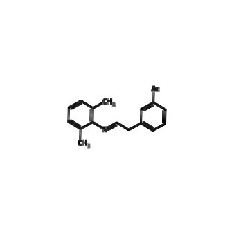 CC(=O)c1cccc(CC=Nc2c(C)cccc2C)c1